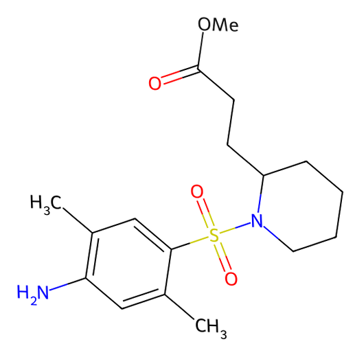 COC(=O)CCC1CCCCN1S(=O)(=O)c1cc(C)c(N)cc1C